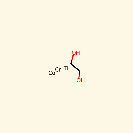 OCCO.[Co].[Cr].[Ti]